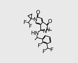 CC(Nc1nn(C)c(=O)c2cc(=O)n(C3(C(F)F)CC3)cc12)c1cccc(C(F)F)c1F